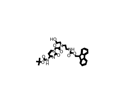 CC(C)(C)OC(=O)Nc1ccn(CC(=O)N(CCNC(=O)OCC2c3ccccc3-c3ccccc32)CC(=O)O)c(=O)n1